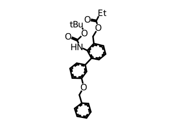 CCC(=O)OCc1cccc(-c2cccc(OCc3ccccc3)c2)c1NC(=O)OC(C)(C)C